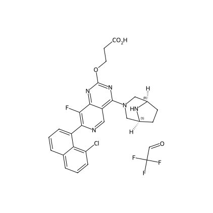 O=C(O)CCOc1nc(N2C[C@H]3CC[C@@H](C2)N3)c2cnc(-c3cccc4cccc(Cl)c34)c(F)c2n1.O=CC(F)(F)F